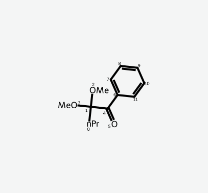 CCCC(OC)(OC)C(=O)c1ccccc1